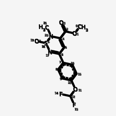 COC(=O)C1=CC(c2ccc(OC(F)F)cc2)=N[S+]([O-])N1C